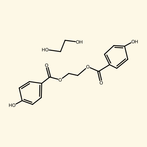 O=C(OCCOC(=O)c1ccc(O)cc1)c1ccc(O)cc1.OCCO